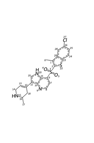 Cc1c(S(=O)(=O)c2ccnc3c(C4=CCNC(C)C4)c[nH]c23)sc2ccc(Cl)cc12